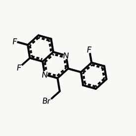 Fc1ccccc1-c1nc2ccc(F)c(F)c2nc1CBr